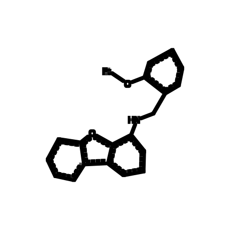 CCOc1ccccc1CNc1cccc2c1oc1ccccc12